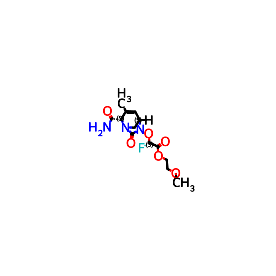 COCCOC(=O)[C@H](F)ON1C(=O)N2C[C@@H]1C=C(C)[C@H]2C(N)=O